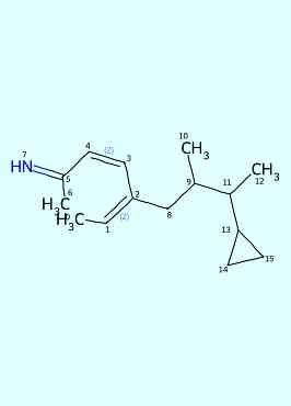 C/C=C(\C=C/C(C)=N)CC(C)C(C)C1CC1